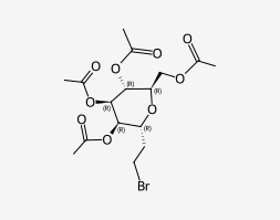 CC(=O)OC[C@H]1O[C@H](CCBr)[C@@H](OC(C)=O)[C@@H](OC(C)=O)[C@@H]1OC(C)=O